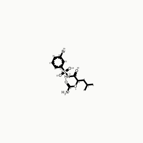 CC(C)CC(OC(N)=O)C(=O)NS(=O)(=O)c1cccc(Br)c1